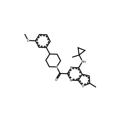 COc1cccc(C2CCN(C(=O)c3nc(NC4(C)CC4)c4cc(C)oc4n3)CC2)c1